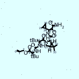 C=CCOC(=O)[C@@H](NC(=O)N[C@H](C(=O)N1C[C@H]2[C@@H]([C@H]1C(=O)NC(C(=O)C(N)=O)C1CC1)C2(C)C)C(C)(C)C)C(C)(C)C